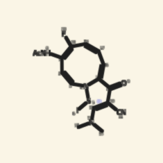 CC(=O)Nc1ccn(SI)c(C(=O)/C(C#N)=C/N(C)C)cccc1F